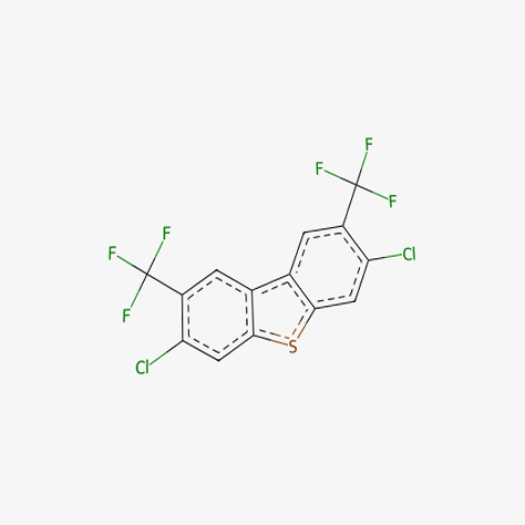 FC(F)(F)c1cc2c(cc1Cl)sc1cc(Cl)c(C(F)(F)F)cc12